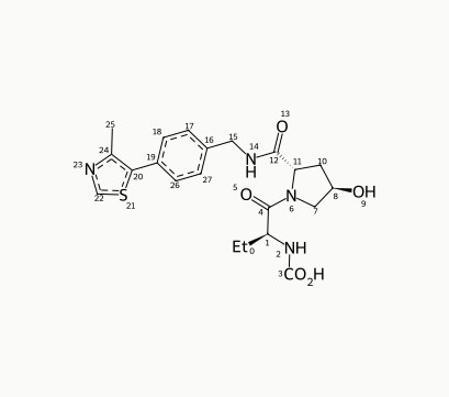 CC[C@H](NC(=O)O)C(=O)N1C[C@H](O)C[C@H]1C(=O)NCc1ccc(-c2scnc2C)cc1